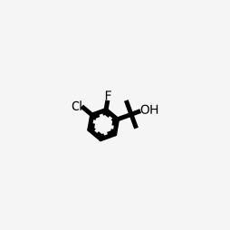 CC(C)(O)c1cccc(Cl)c1F